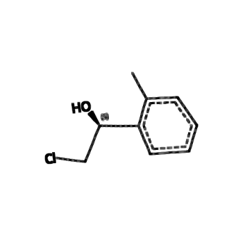 Cc1ccccc1[C@H](O)CCl